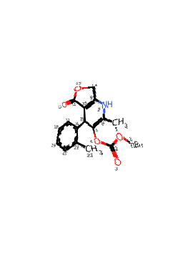 CCCCOC(=O)OC1=C(C)NC2=C(C(=O)OC2)C1c1ccccc1C